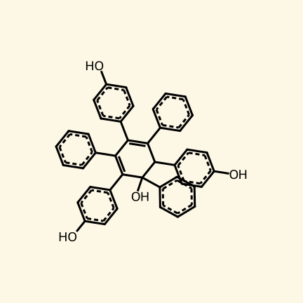 Oc1ccc(C2=C(c3ccccc3)C(c3ccc(O)cc3)C(O)(c3ccccc3)C(c3ccc(O)cc3)=C2c2ccccc2)cc1